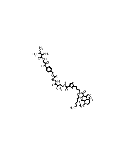 CCCCCCON(CCCc1nc(C(=O)NCCC(C)C(=O)NNC(=O)OCc2ccc(NC(=O)CNC(=O)C(N)C(C)C)cc2)cs1)C(=O)C(NC(=O)C1CCCCN1C)C(C)CC